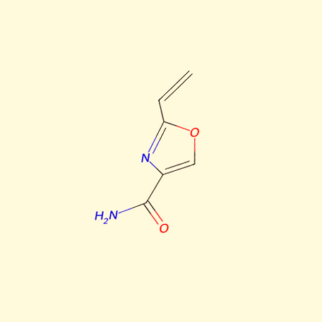 C=Cc1nc(C(N)=O)co1